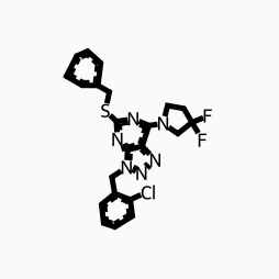 FC1(F)CCN(c2nc(SCc3ccccc3)nc3c2nnn3Cc2ccccc2Cl)C1